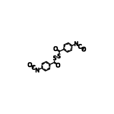 O=C=Nc1ccc(C(=O)SSC(=O)c2ccc(N=C=O)cc2)cc1